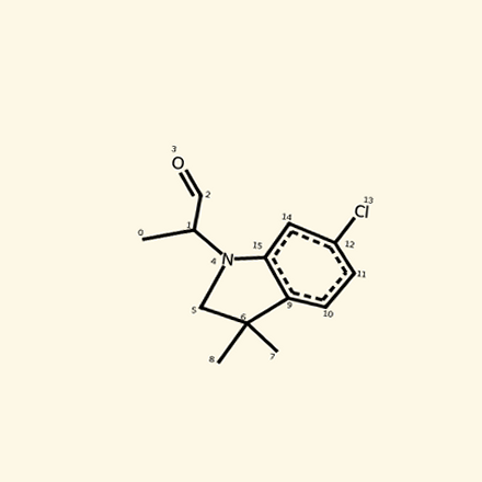 CC(C=O)N1CC(C)(C)c2ccc(Cl)cc21